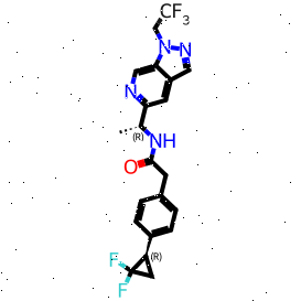 C[C@@H](NC(=O)Cc1ccc([C@H]2CC2(F)F)cc1)c1cc2cnn(CC(F)(F)F)c2cn1